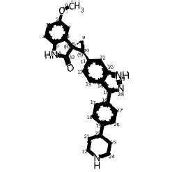 COc1ccc2c(c1)[C@]1(C[C@H]1c1ccc3c(-c4ccc(C5CCNCC5)cc4)n[nH]c3c1)C(=O)N2